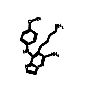 CCOc1ccc(Nc2c(CCCCN)c(N)nn3ccnc23)cc1